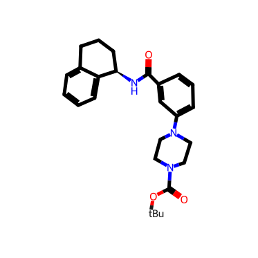 CC(C)(C)OC(=O)N1CCN(c2cccc(C(=O)N[C@@H]3CCCc4ccccc43)c2)CC1